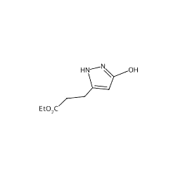 CCOC(=O)CCc1cc(O)n[nH]1